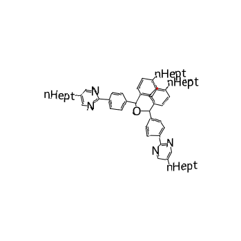 CCCCCCCc1ccc(C(OC(c2ccc(CCCCCCC)cc2)c2ccc(-c3ncc(CCCCCCC)cn3)cc2)c2ccc(-c3ncc(CCCCCCC)cn3)cc2)cc1